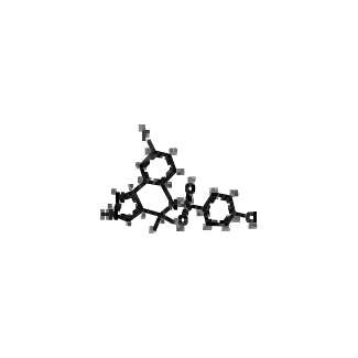 CC1(C)c2c[nH]nc2-c2cc(F)ccc2N1S(=O)(=O)c1ccc(Cl)cc1